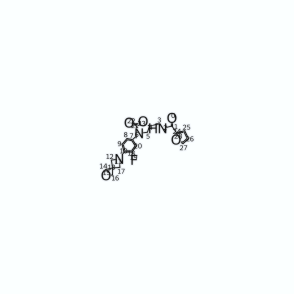 O=C(NC[C@H]1CN(c2ccc(N3CC4(COC4)C3)c(F)c2)C(=O)O1)c1ccco1